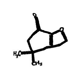 CC1(C)CC(=O)C2=C(CO2)C1